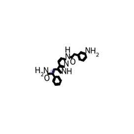 NC(=O)/C(=C/c1c[nH]c2nc(NC(=O)Cc3cccc(N)c3)ccc12)c1ccccc1